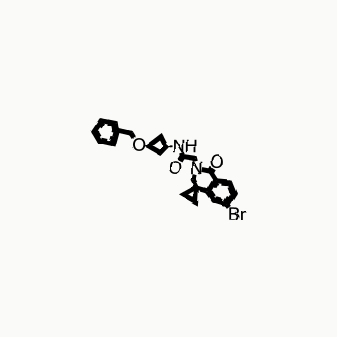 O=C(CN1CC2(CC2)c2cc(Br)ccc2C1=O)N[C@H]1C[C@@H](OCc2ccccc2)C1